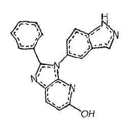 Oc1ccc2nc(-c3ccccc3)n(-c3ccc4[nH]ncc4c3)c2n1